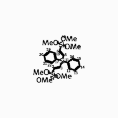 CO[Si](C=C[Si](C=C[Si](OC)(OC)OC)(c1ccccc1)c1ccccc1)(OC)OC